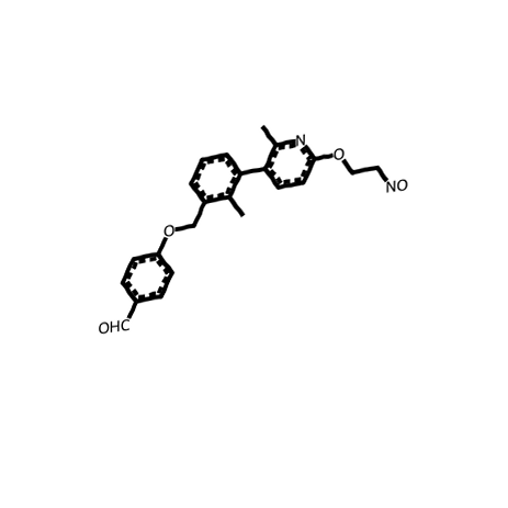 Cc1nc(OCCN=O)ccc1-c1cccc(COc2ccc(C=O)cc2)c1C